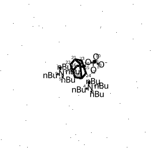 CCCC[N+](CCCC)(CCCC)CCCC.CCCC[N+](CCCC)(CCCC)CCCC.O=P([O-])([O-])OC12CC3CC(CC(C3)C1)C2